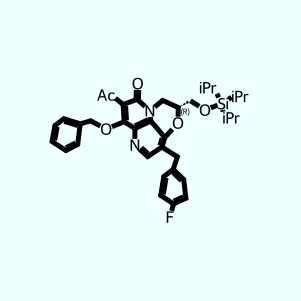 CC(=O)c1c(OCc2ccccc2)c2ncc(Cc3ccc(F)cc3)c3c2n(c1=O)C[C@H](CO[Si](C(C)C)(C(C)C)C(C)C)O3